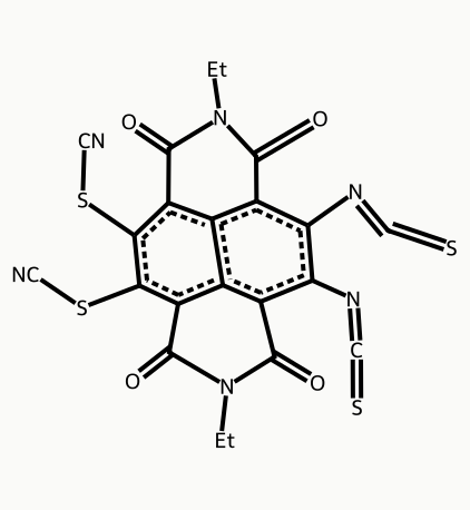 CCN1C(=O)c2c(N=C=S)c(N=C=S)c3c4c(c(SC#N)c(SC#N)c(c24)C1=O)C(=O)N(CC)C3=O